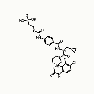 O=C(Nc1ccc(C(=O)N[C@@H](CC2CC2)C(=O)N2CCC[C@@]3(C2)OC(=O)Nc2ccc(Cl)c(F)c23)cc1)OCCP(=O)(O)O